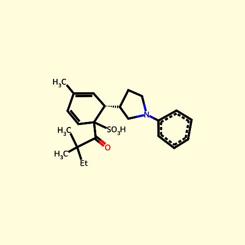 CCC(C)(C)C(=O)C1(S(=O)(=O)O)C=CC(C)=C[C@@H]1C1CCN(c2ccccc2)C1